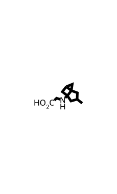 CC1CC2(NCC(=O)O)CC3CC32C1